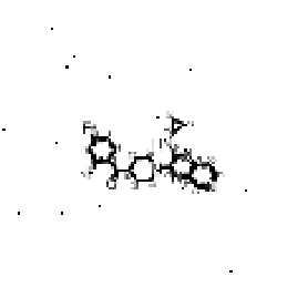 O=C(c1ccc(F)cc1F)C1CCN(c2nc3cnccc3nc2NC2CC2)CC1